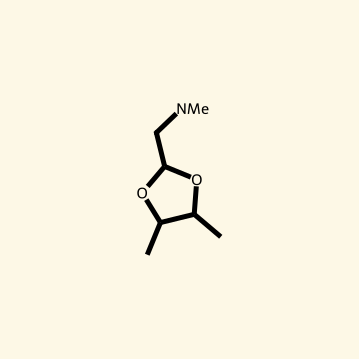 CNCC1OC(C)C(C)O1